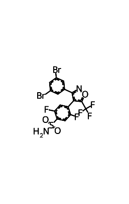 NS(=O)(=O)c1cc(F)c(-c2c(-c3cc(Br)cc(Br)c3)noc2C(F)(F)F)cc1F